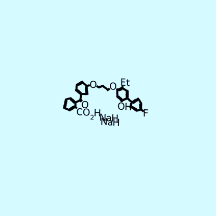 CCc1cc(-c2ccc(F)cc2)c(O)cc1OCCCOc1cccc(C(=O)c2ccccc2C(=O)O)c1.[NaH].[NaH]